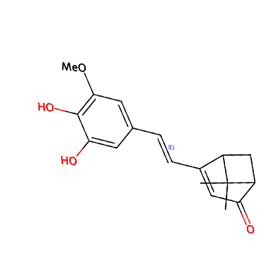 COc1cc(/C=C/C2=CC(=O)C3CC2C3(C)C)cc(O)c1O